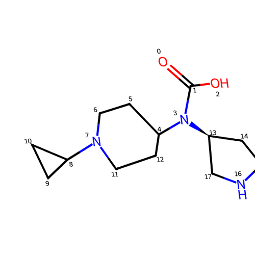 O=C(O)N(C1CCN(C2CC2)CC1)[C@H]1CCNC1